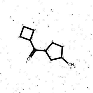 CC1CCC(C(=O)C2CCC2)C1